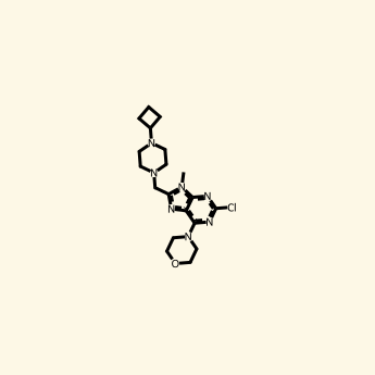 Cn1c(CN2CCN(C3CCC3)CC2)nc2c(N3CCOCC3)nc(Cl)nc21